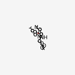 CC(C)c1ccc2c(c1)CC[C@H]1[C@@](C)(Cc3c(-c4cccc(CN(C)C)c4)ccc4[nH]c(-c5cccc(OCC(=O)OC(C)(C)C)c5)nc34)CCC[C@]21C